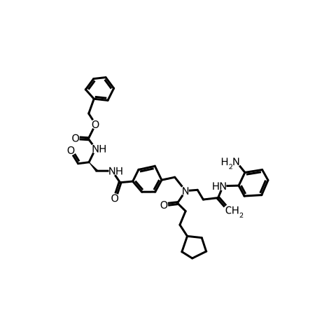 C=C(CCN(Cc1ccc(C(=O)NC[C@@H](C=O)NC(=O)OCc2ccccc2)cc1)C(=O)CCC1CCCC1)Nc1ccccc1N